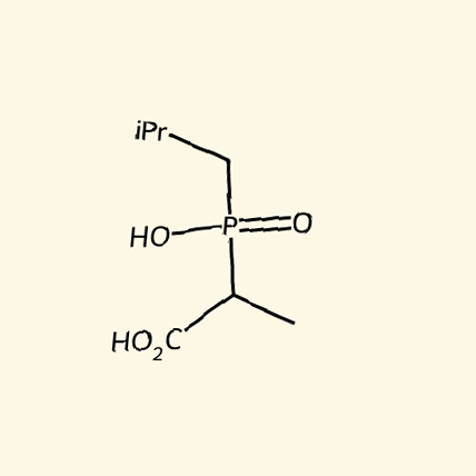 CC(C)CP(=O)(O)C(C)C(=O)O